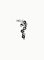 O=C(O)c1ccc2nc(CC3CCN(c4cccc(OCc5ccc(F)cc5F)n4)CC3)n(C[C@@H]3CCO3)c2n1